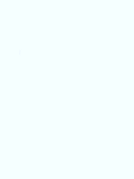 Cc1cccc(CC(C)C(F)(F)F)c1O